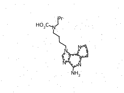 C[C](C)CN(CCCCn1cnc2c(N)nc3cccnc3c21)C(=O)O